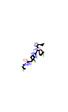 CC(C)(F)CNC(=O)Cc1ccc2[nH]c([C@@H](NC(=O)c3nonc3C3CC3)C3CCC(C)(F)CC3)nc2c1F